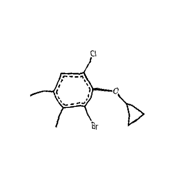 Cc1cc(Cl)c(OC2CC2)c(Br)c1C